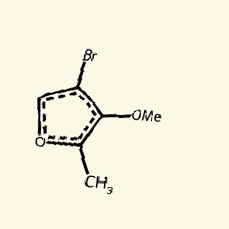 COc1c(Br)coc1C